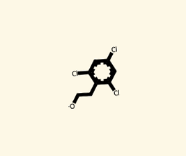 [O]CCc1c(Cl)cc(Cl)cc1Cl